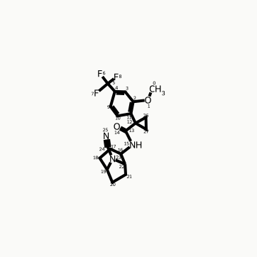 COc1cc(C(F)(F)F)ccc1C1(C(=O)NC2CCC3CCC2N3C#N)CC1